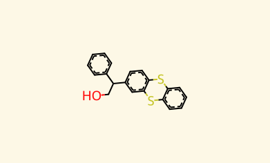 OCC(c1ccccc1)c1ccc2c(c1)Sc1ccccc1S2